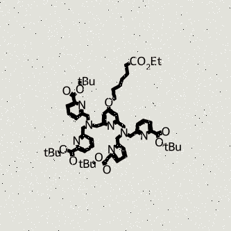 CCOC(=O)CCCCCCOc1cc(CN(Cc2cccc(C(=O)OC(C)(C)C)n2)Cc2cccc(C(=O)OC(C)(C)C)n2)nc(CN(Cc2cccc(C(=O)OC(C)(C)C)n2)Cc2cccc(C(=O)OC(C)(C)C)n2)c1